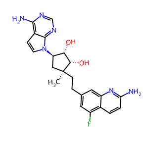 C[C@]1(CCc2cc(F)c3ccc(N)nc3c2)C[C@@H](n2ccc3c(N)ncnc32)[C@H](O)[C@@H]1O